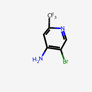 Nc1cc(C(F)(F)F)ncc1Br